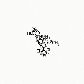 COCC(C)N(CC(=O)c1c(Cl)cncc1Cl)C(=O)c1cnn(C2CCC(C)(C(=O)O)CC2)c1C(F)(F)F